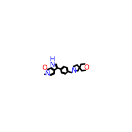 Cn1ccc2c(-c3ccc(CN4CCC5(CCOCC5)C4)cc3)c[nH]c2c1=O